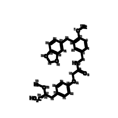 CCOc1ccc(CNC(=O)COc2ccc(C[C@H](OCC)C(=O)O)cc2)cc1Cc1ccc2c(c1)OCO2